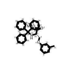 COC(=O)[C@H](COc1cccc(C)c1)NC(c1ccccc1)(c1ccccc1)c1ccccc1